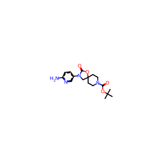 CC(C)(C)OC(=O)N1CCC2(CC1)CN(c1ccc(N)nc1)C(=O)O2